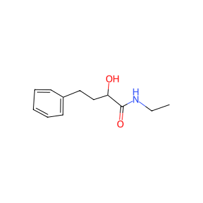 CCNC(=O)C(O)CCc1ccccc1